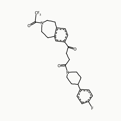 O=C(CCC(=O)N1CCC(c2ccc(F)cc2)CC1)c1ccc2c(c1)CCN(C(=O)C(F)(F)F)CC2